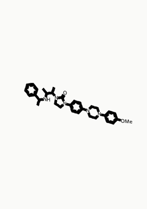 COc1ccc(N2CCN(c3ccc(N4CCN(C(C)C(C)NC(C)c5ccccc5)C4=O)cc3)CC2)cc1